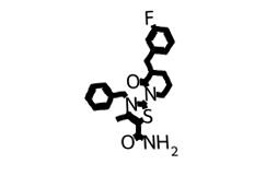 CC1=C(C(N)=O)SC(N2CCCC(Cc3cccc(F)c3)C2=O)N1Cc1ccccc1